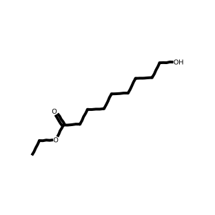 CCOC(=O)CCCCCCCCO